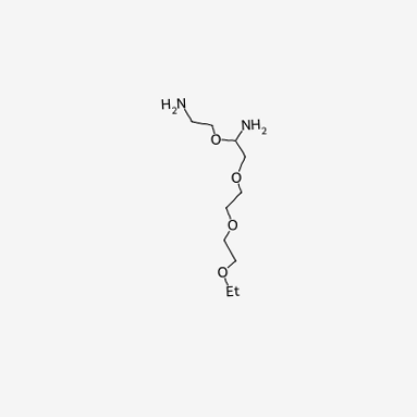 CCOCCOCCOCC(N)OCCN